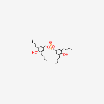 CCCCc1cc(CO[PH](=O)OCc2cc(CCCC)c(O)c(CCCC)c2)cc(CCCC)c1O